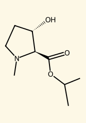 CC(C)OC(=O)[C@@H]1[C@@H](O)CCN1C